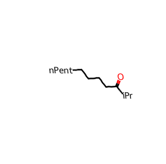 CCCCCCCCCC(=O)C(C)C